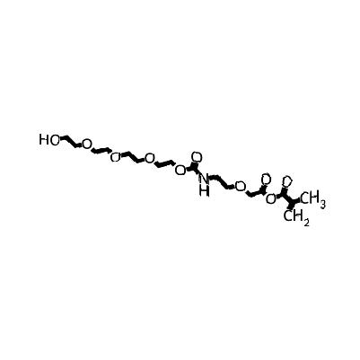 C=C(C)C(=O)OC(=O)COCCNC(=O)OCCOCCOCCOCCO